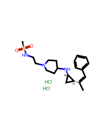 CC(=Cc1ccccc1)[C@@H]1C[C@H]1NC1CCN(CCNS(C)(=O)=O)CC1.Cl.Cl